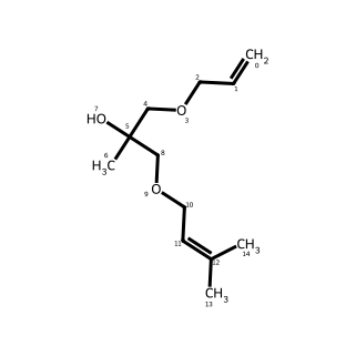 C=CCOCC(C)(O)COCC=C(C)C